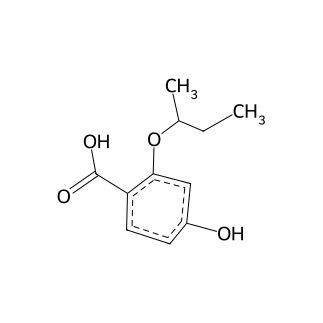 CCC(C)Oc1cc(O)ccc1C(=O)O